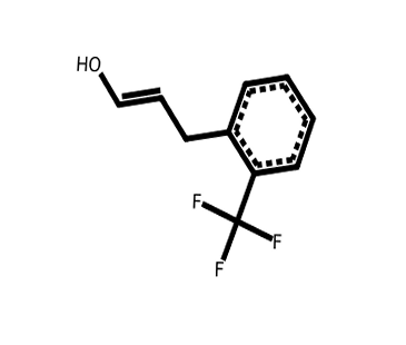 O/C=C/Cc1ccccc1C(F)(F)F